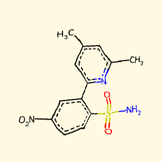 Cc1cc(C)nc(-c2cc([N+](=O)[O-])ccc2S(N)(=O)=O)c1